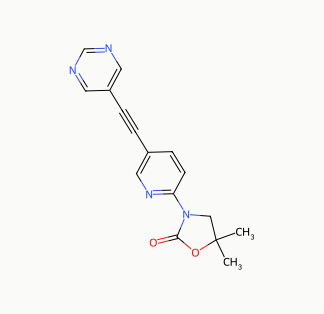 CC1(C)CN(c2ccc(C#Cc3cncnc3)cn2)C(=O)O1